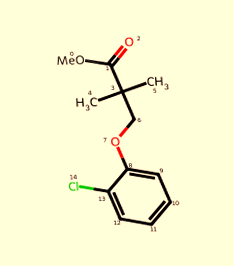 COC(=O)C(C)(C)COc1ccccc1Cl